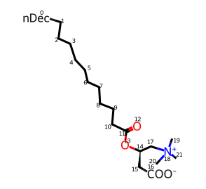 CCCCCCCCCCCCCCCCCCCCC(=O)O[C@H](CC(=O)[O-])C[N+](C)(C)C